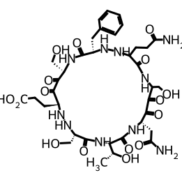 C[C@@H](O)[C@@H]1NC(=O)[C@H](CO)NN[C@@H](CCC(=O)O)C(=O)C(=O)[C@H](CO)NC(=O)[C@H](Cc2ccccc2)NNC(CCC(N)=O)C(=O)NC(CO)C(=O)C(=O)[C@H](CC(N)=O)NC1=O